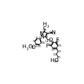 COc1ccc(-n2nc(C)c(C#N)c2COc2c(F)cc(CCCO)cc2F)cc1